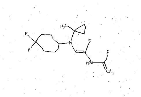 C=C(F)NC(F)=CN(C1CCC(F)(F)CC1)C1(C)CC1